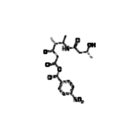 CC(NC(=O)C[C@@H](C)O)[C@@H](C)C(=O)CC(=O)OC(=O)c1ccc([N+](=O)[O-])cc1